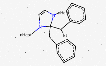 CCCCCCCN1C=CN(CCCCCCC)C1(Cc1ccccc1)C(CC)c1ccccc1